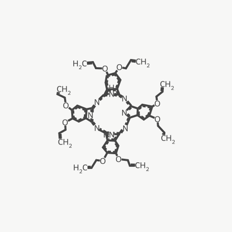 C=CCOc1cc2c(cc1OCC=C)-c1nc-2nc2[nH]c(nc3nc(nc4[nH]c(n1)c1cc(OCC=C)c(OCC=C)cc41)-c1cc(OCC=C)c(OCC=C)cc1-3)c1cc(OCC=C)c(OCC=C)cc21